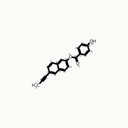 CC#Cc1ccc2cc(OC(=O)c3ccc(O)cc3)ccc2c1